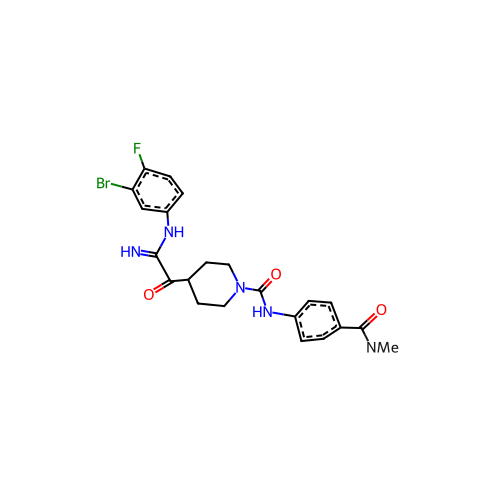 CNC(=O)c1ccc(NC(=O)N2CCC(C(=O)C(=N)Nc3ccc(F)c(Br)c3)CC2)cc1